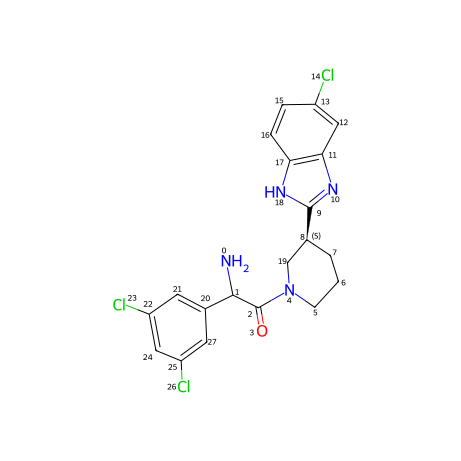 NC(C(=O)N1CCC[C@H](c2nc3cc(Cl)ccc3[nH]2)C1)c1cc(Cl)cc(Cl)c1